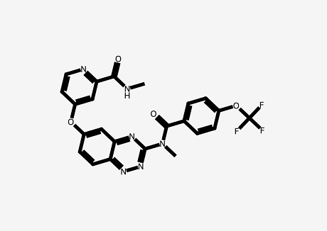 CNC(=O)c1cc(Oc2ccc3nnc(N(C)C(=O)c4ccc(OC(F)(F)F)cc4)nc3c2)ccn1